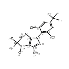 CC(F)(F)c1cc(Cl)c(-n2nc(N)c([S+]([O-])C(F)(F)F)c2N)c(Cl)c1